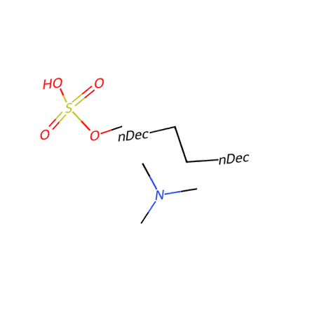 CCCCCCCCCCCCCCCCCCCCCC.CN(C)C.COS(=O)(=O)O